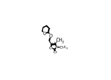 C[C@H]1[C@H](COC2CCCCO2)OC(=O)N1C